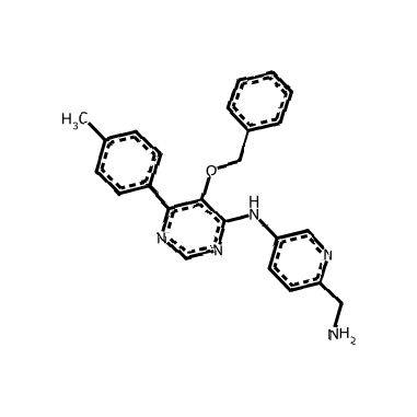 Cc1ccc(-c2ncnc(Nc3ccc(CN)nc3)c2OCc2ccccc2)cc1